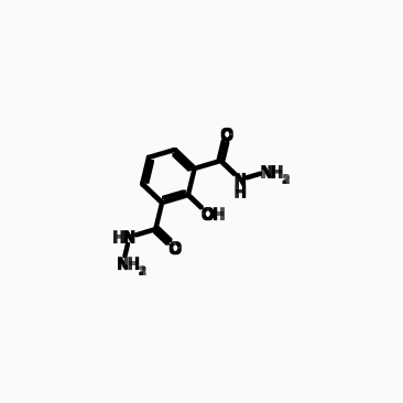 NNC(=O)c1cccc(C(=O)NN)c1O